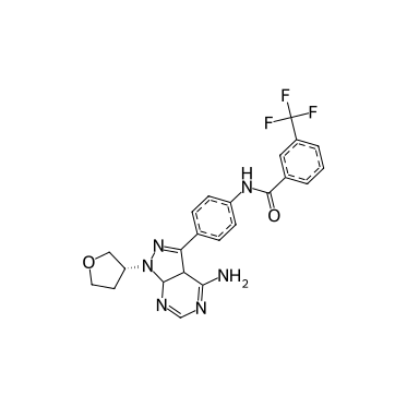 NC1=NC=NC2C1C(c1ccc(NC(=O)c3cccc(C(F)(F)F)c3)cc1)=NN2[C@@H]1CCOC1